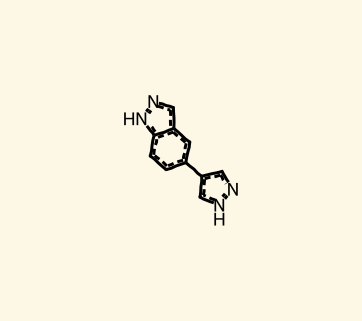 c1cc2[nH]ncc2cc1-c1cn[nH]c1